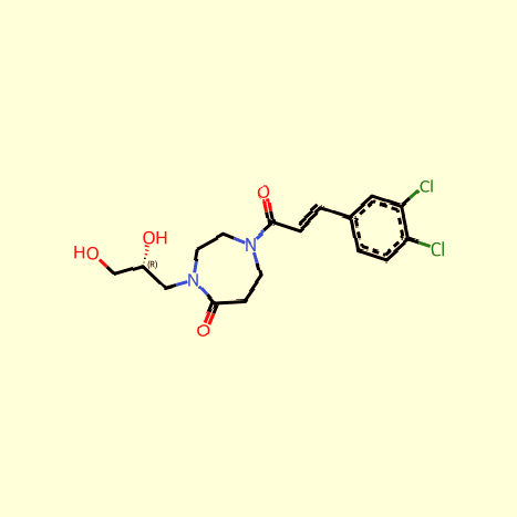 O=C(C=Cc1ccc(Cl)c(Cl)c1)N1CCC(=O)N(C[C@@H](O)CO)CC1